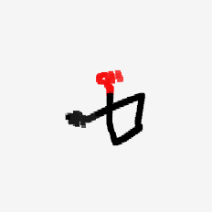 CC[CH]C1(O)CCC1